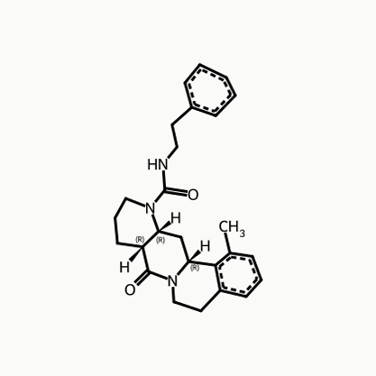 Cc1cccc2c1[C@H]1C[C@@H]3[C@@H](CCCN3C(=O)NCCc3ccccc3)C(=O)N1CC2